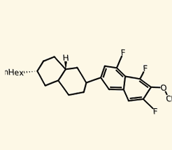 CCCCCC[C@@H]1CC[C@@H]2CC(c3cc(F)c4c(F)c(OC(F)(F)F)c(F)cc4c3)CCC2C1